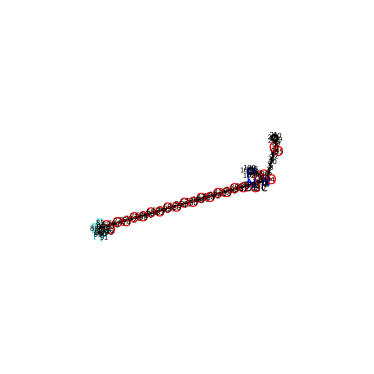 CCCCCCCCCCCN(C(=O)CCCCCCCCCC(=O)OCc1ccccc1)[C@@H](CCC(=O)NCCOCCOCCOCCOCCOCCOCCOCCOCCOCCOCCOCCOCCOCCOCCOCCOCCC(=O)Oc1c(F)c(F)c(F)c(F)c1F)C(=O)OCc1ccccc1